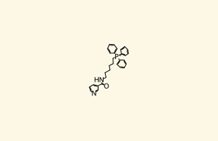 O=C(NCCCCCC[P+](c1ccccc1)(c1ccccc1)c1ccccc1)c1cccnc1